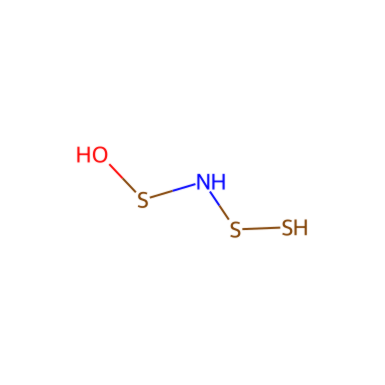 OSNSS